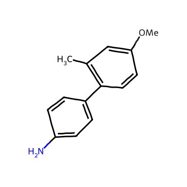 COc1ccc(-c2ccc(N)cc2)c(C)c1